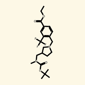 CCOC(=O)c1ccc(CN2CCC(CN(C)C(=O)OC(C)(C)C)C2)c(C(F)(F)F)c1